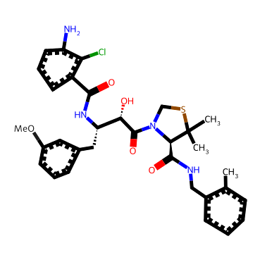 COc1cccc(C[C@H](NC(=O)c2cccc(N)c2Cl)[C@H](O)C(=O)N2CSC(C)(C)[C@H]2C(=O)NCc2ccccc2C)c1